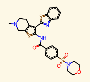 CN1CCc2c(sc(NC(=O)c3ccc(S(=O)(=O)N4CCOCC4)cc3)c2-c2nc3ccccc3s2)C1